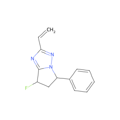 C=Cc1nc2n(n1)C(c1ccccc1)CC2F